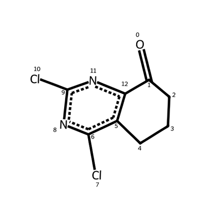 O=C1CCCc2c(Cl)nc(Cl)nc21